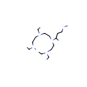 O=C(O)CN1CCN(CC(=O)O)CCN(C(CCNI)C(=O)O)CCN(CC(=O)O)CC1